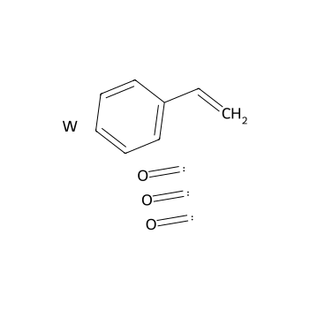 C=Cc1ccccc1.[C]=O.[C]=O.[C]=O.[W]